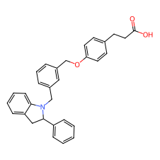 O=C(O)CCc1ccc(OCc2cccc(CN3c4ccccc4CC3c3ccccc3)c2)cc1